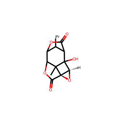 CC(C)C1C2OC(=O)C1C1(O)[C@H]3O[C@]34C(=O)OC2C14C